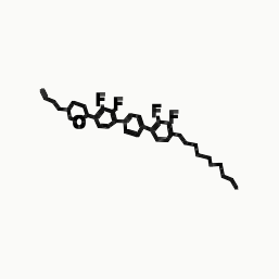 C=CCCC1CCC(c2ccc(-c3ccc(-c4ccc(CCCCCCCCCC)c(F)c4F)cc3)c(F)c2F)OC1